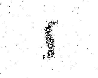 O=C(Oc1ccc(Oc2ccc(C(F)(F)F)cn2)cc1)N1CCC(Oc2ccc(N3CCNCC3)cc2)CC1